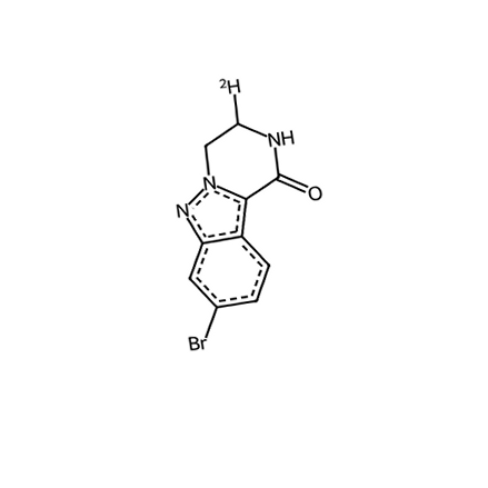 [2H]C1Cn2nc3cc(Br)ccc3c2C(=O)N1